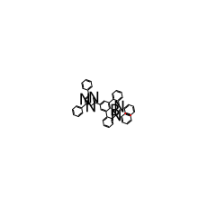 c1ccc(-c2nc(-c3ccccc3)nc(-c3cc4c5c(c3)-c3ccccc3N(c3ccccc3)B5N(c3ccccc3)c3ccccc3-4)n2)cc1